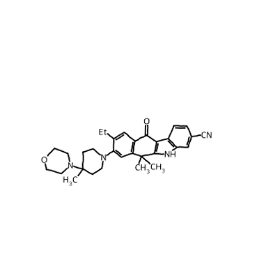 CCc1cc2c(cc1N1CCC(C)(N3CCOCC3)CC1)C(C)(C)c1[nH]c3cc(C#N)ccc3c1C2=O